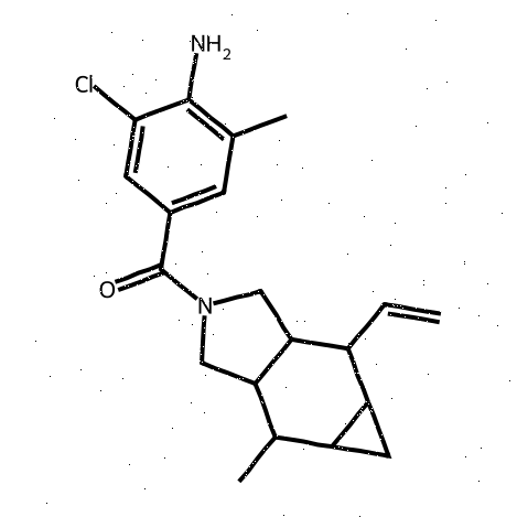 C=CC1C2CC2C(C)C2CN(C(=O)c3cc(C)c(N)c(Cl)c3)CC12